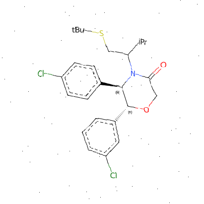 CC(C)C(CSC(C)(C)C)N1C(=O)CO[C@H](c2cccc(Cl)c2)[C@H]1c1ccc(Cl)cc1